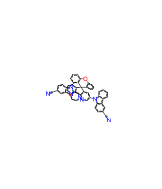 N#Cc1ccc2c(c1)c1ccccc1n2-c1cnc2c(c1)C1(c3ccccc3Oc3cccc(-n4c5ccc(C#N)cc5c5ccncc54)c31)c1cccnc1-2